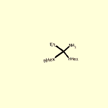 [CH2]CC(N)(CCCCCC)CCCCCC